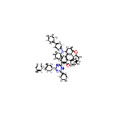 c1ccc(-c2ccc(-c3nc(-c4ccccc4)nc(-c4ccc(-c5c(-n6c7ccccc7c7cc(-c8ccccc8)ccc76)ccc6oc7ccccc7c56)c5c4oc4ccccc45)n3)cc2)cc1